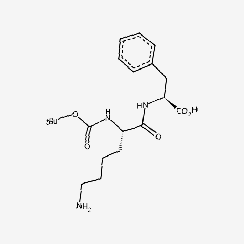 CC(C)(C)OC(=O)N[C@@H](CCCCN)C(=O)N[C@@H](Cc1ccccc1)C(=O)O